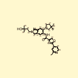 Cc1cc(-c2nc(C(=O)Nc3cc4cn(CCC(C)(C)O)nc4cc3N3CCC(F)(F)C3)co2)ccn1